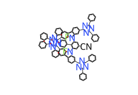 N#Cc1cc(-n2c3cc(-c4nc(-c5ccccc5)nc(-c5ccccc5)n4)ccc3c3ccc(-c4nc(-c5ccccc5)nc(-c5ccccc5)n4)cc32)c(-c2c(F)cccc2F)c(-n2c3cc(-c4nc(-c5ccccc5)nc(-c5ccccc5)n4)ccc3c3ccc(-c4nc(-c5ccccc5)nc(-c5ccccc5)n4)cc32)c1